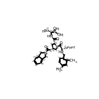 CCCCC[C@H](NCc1ccc(C)cc1C)C(=O)N1C[C@H](OC(=O)N2Cc3ccccc3C2)C[C@H]1C(=O)N[C@@H](CCCC)B(O)O